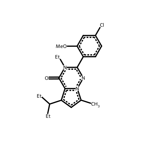 CCC(CC)c1cc(C)n2nc(-c3ccc(Cl)cc3OC)n(CC)c(=O)c12